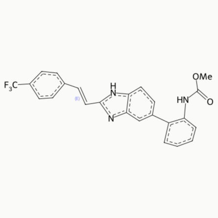 COC(=O)Nc1ccccc1-c1ccc2[nH]c(/C=C/c3ccc(C(F)(F)F)cc3)nc2c1